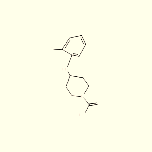 O=C(O)N1CCC(Nc2ccccc2F)CC1